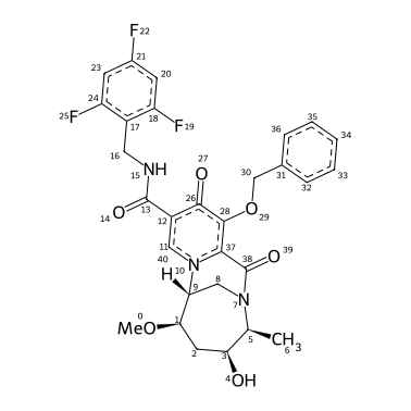 CO[C@@H]1C[C@H](O)[C@H](C)N2C[C@H]1n1cc(C(=O)NCc3c(F)cc(F)cc3F)c(=O)c(OCc3ccccc3)c1C2=O